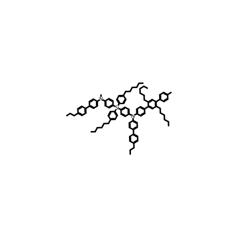 CCCCCCc1ccc([Si](c2ccc(CCCCCC)cc2)(c2ccc(N(C)c3ccc(-c4ccc(CCC)cc4)cc3)cc2)c2ccc(N(c3ccc(-c4ccc(CCC)cc4)cc3)c3ccc(-c4cc(CCCCCC)c(-c5ccc(C)cc5)cc4CCCCCC)cc3)cc2)cc1